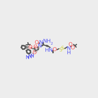 C=C(NCC#Cc1cn([C@H]2C[C@@H](OCN=[N+]=[N-])[C@@H](CO[Si](c3ccccc3)(c3ccccc3)C(C)(C)C)O2)c(=O)nc1N)OCCSSCCNC(=O)OC(C)(C)C